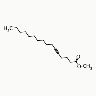 CCCCCCCCCCC#CCCCC(=O)OC